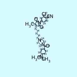 CC1=C(CCCCCN2CCN(C(=O)c3ccc(N(C)C)cc3)CC2)C(=O)N(c2ccc(C#N)c(C(F)(F)F)c2)C1=O